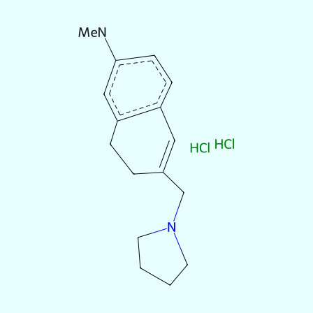 CNc1ccc2c(c1)CCC(CN1CCCC1)=C2.Cl.Cl